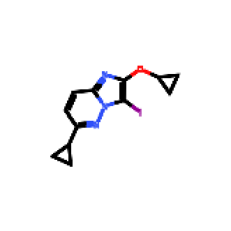 Ic1c(OC2CC2)nc2ccc(C3CC3)nn12